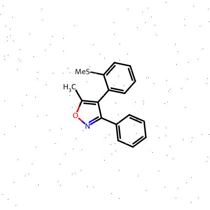 CSc1ccccc1-c1c(-c2ccccc2)noc1C